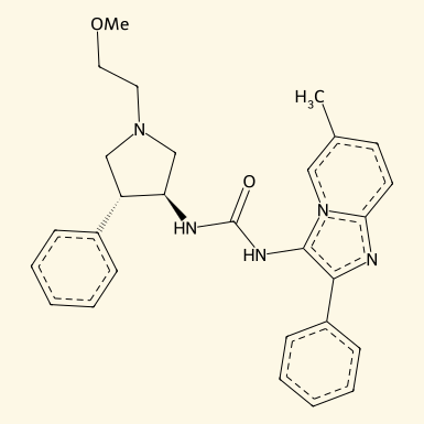 COCCN1C[C@@H](NC(=O)Nc2c(-c3ccccc3)nc3ccc(C)cn23)[C@H](c2ccccc2)C1